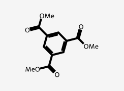 COC(=O)c1cc(C(=O)OC)cc(C(=O)OC)c1